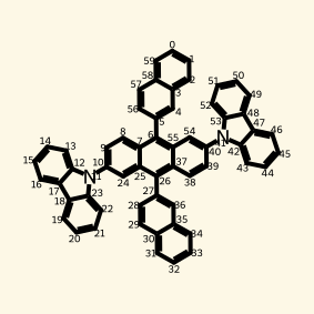 c1ccc2cc(-c3c4ccc(-n5c6ccccc6c6ccccc65)cc4c(-c4ccc5ccccc5c4)c4ccc(-n5c6ccccc6c6ccccc65)cc34)ccc2c1